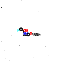 CNCCOc1ccc(CC(C)NCC(O)c2cccc(F)c2)cc1